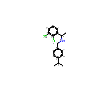 CC(C)c1ccc(CNC(C)c2cccc(Cl)c2Cl)cc1